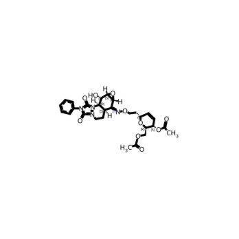 CC(=O)OC[C@H]1O[C@H](CCO/N=C2/[C@H]3CCn4c(=O)n(-c5ccccc5)c(=O)n4[C@H]3[C@H](O)[C@@H]3O[C@H]23)C=C[C@@H]1OC(C)=O